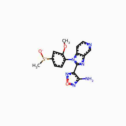 COc1cc([S+](C)[O-])ccc1-n1c(-c2nonc2N)nc2cnccc21